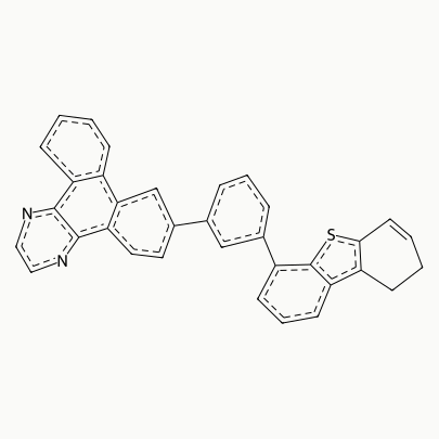 C1=Cc2sc3c(-c4cccc(-c5ccc6c(c5)c5ccccc5c5nccnc65)c4)cccc3c2CC1